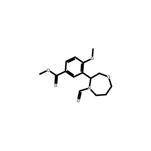 COC(=O)c1ccc(OC)c(C2COCCCN2C=O)c1